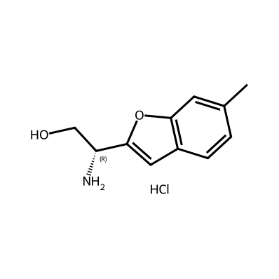 Cc1ccc2cc([C@H](N)CO)oc2c1.Cl